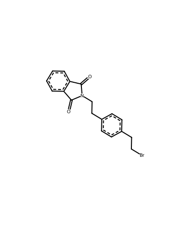 O=C1c2ccccc2C(=O)N1CCc1ccc(CCBr)cc1